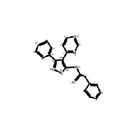 O=C(Cc1ccccc1)Nc1onc(-c2ccccc2)c1-c1ccncn1